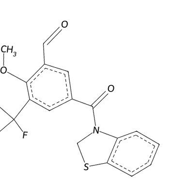 COc1c(C=O)cc(C(=O)N2CSc3ccccc32)cc1C(F)(F)F